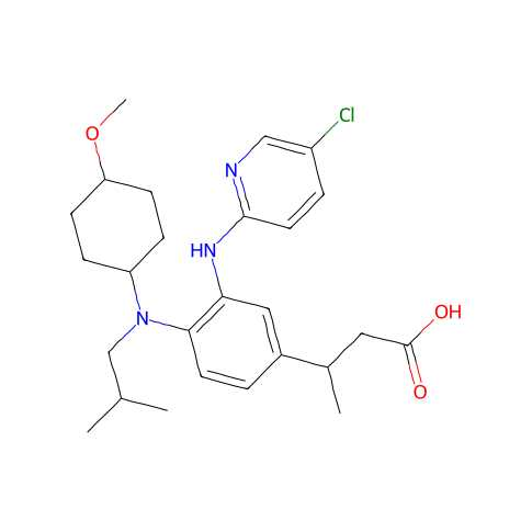 COC1CCC(N(CC(C)C)c2ccc(C(C)CC(=O)O)cc2Nc2ccc(Cl)cn2)CC1